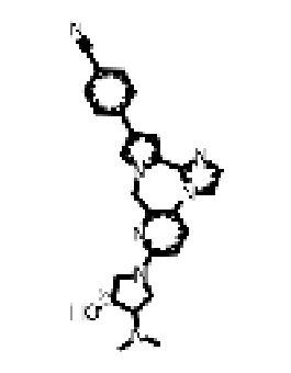 CN(C)C1CN(c2ccc3c(n2)Cn2cc(-c4ccc(C#N)cc4)cc2-c2nccn2-3)C[C@H]1O